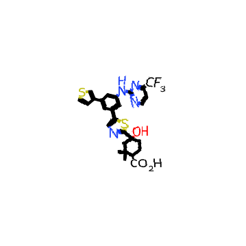 CC1(C)C[C@](O)(c2ncc(-c3cc(Nc4nccc(C(F)(F)F)n4)cc(-c4ccsc4)c3)s2)CC[C@H]1C(=O)O